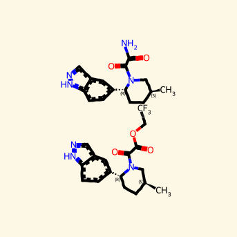 C[C@H]1CC[C@H](c2ccc3[nH]ncc3c2)N(C(=O)C(=O)OCC(F)(F)F)C1.C[C@H]1CC[C@H](c2ccc3[nH]ncc3c2)N(C(=O)C(N)=O)C1